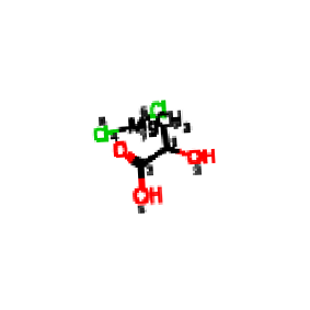 CC(O)C(=O)O.[Cl][Mg][Cl]